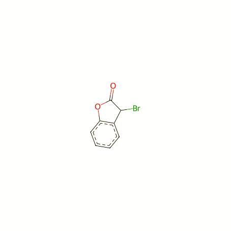 O=C1Oc2ccccc2C1Br